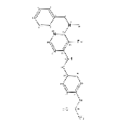 CN(Cc1ccccc1)c1ncnc(NCc2ccc(CC(N)=O)cc2)c1F